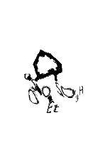 CCOS(=O)(=O)c1ccccc1S(=O)(=O)O